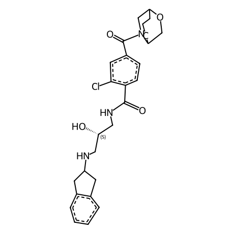 O=C(NC[C@@H](O)CNC1Cc2ccccc2C1)c1ccc(C(=O)N2CC3CCCC2CO3)cc1Cl